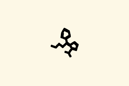 CCCCC(=C1C=CC=C1C(C)C)c1ccccc1